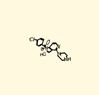 Cl.O=S(=O)(c1ccc(Cl)cc1)n1ccc2c(N3CCNCC3)nccc21